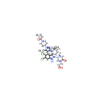 C=CC(=O)N1CCC(n2nc(N3CC[C@@H](CN4CCN(CCO)C(=O)C4)CC3(C)C)c(-c3c(Cl)c(Cl)cc4[nH]ncc34)c2C)CC1